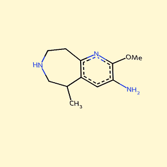 COc1nc2c(cc1N)C(C)CNCC2